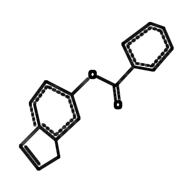 O=C(Oc1ccc2c(c1)CC=C2)c1ccccc1